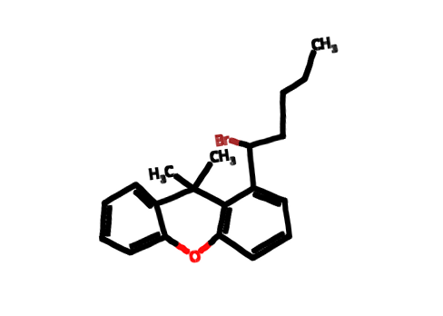 CCCCC(Br)c1cccc2c1C(C)(C)c1ccccc1O2